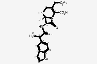 COCC1=C(C(=O)O)N2C(=O)[C@@H](NC(=O)C(N)c3ccc4sccc4c3)[C@@H]2SC1